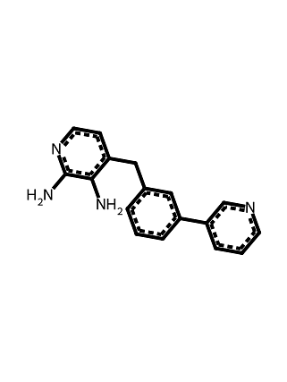 Nc1nccc(Cc2cccc(-c3cccnc3)c2)c1N